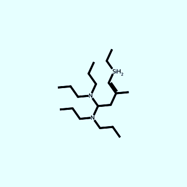 CCCN(CCC)C(CC(C)=C[SiH2]CC)N(CCC)CCC